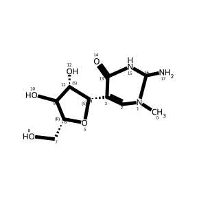 CN1C=C([C@@H]2O[C@H](CO)C(O)[C@@H]2O)C(=O)NC1N